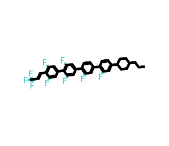 CCCC1CCC(c2ccc(-c3ccc(-c4cc(F)c(-c5cc(F)c(/C=C/C(F)(F)F)c(F)c5)c(F)c4)c(F)c3)c(F)c2)CC1